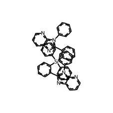 c1ccc(-n2c(-c3ccccc3[Si](c3ccccc3)(c3ccccc3)c3ccccc3-c3nc4cccnc4n3-c3ccccc3)nc3cccnc32)cc1